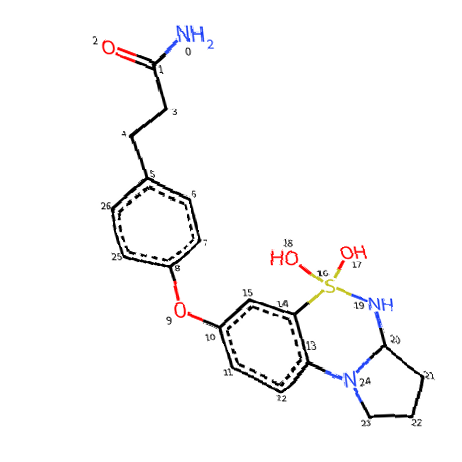 NC(=O)CCc1ccc(Oc2ccc3c(c2)S(O)(O)NC2CCCN32)cc1